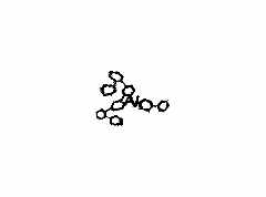 c1ccc(-c2ccc(-n3c4ccc(-c5ccccc5-c5ccccc5)cc4c4cc(-c5ccccc5-c5ccccc5)ccc43)cc2)cc1